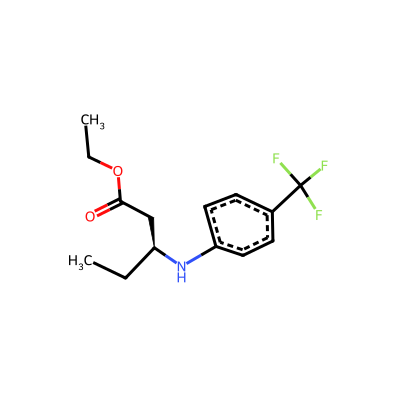 CCOC(=O)C[C@H](CC)Nc1ccc(C(F)(F)F)cc1